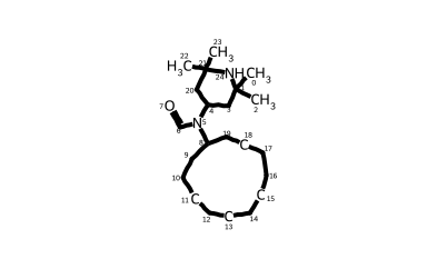 CC1(C)CC(N(C=O)C2CCCCCCCCCCC2)CC(C)(C)N1